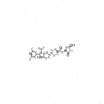 Cc1cc(-c2[nH]c3ccc(C4CCN(C(=O)CN5C[C@@H](O)CC5=O)CC4)cc3c2C(C)C)cc(C)n1